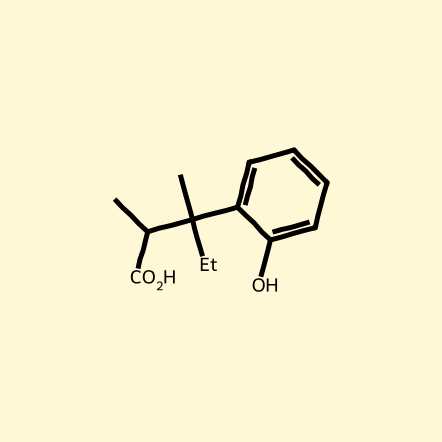 CCC(C)(c1ccccc1O)C(C)C(=O)O